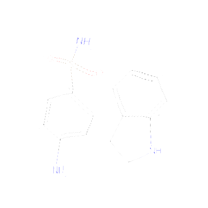 Nc1ccc(S(N)(=O)=O)cc1.c1ccc2c(c1)CCN2